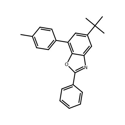 Cc1ccc(-c2cc(C(C)(C)C)cc3nc(-c4ccccc4)oc23)cc1